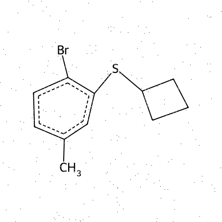 Cc1ccc(Br)c(SC2CCC2)c1